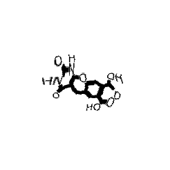 O=C(O)c1cc2c(cc1C(=O)O)Oc1[nH]c(=O)[nH]c(=O)c1C2